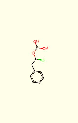 OB(O)O[C@@H](Cl)Cc1ccccc1